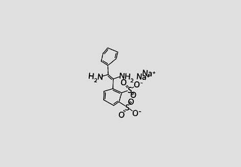 NC(=C(N)c1cccc(S(=O)(=O)[O-])c1S(=O)(=O)[O-])c1ccccc1.[Na+].[Na+]